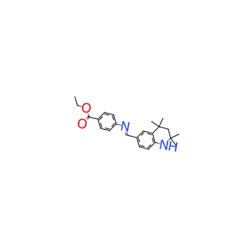 CCOC(=O)c1ccc(N=Cc2ccc3c(c2)C(C)(C)CC(C)(C)N3)cc1